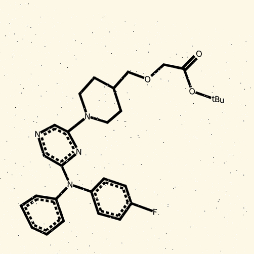 CC(C)(C)OC(=O)COCC1CCN(c2cncc(N(c3ccccc3)c3ccc(F)cc3)n2)CC1